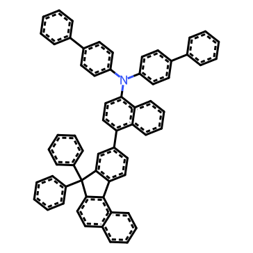 c1ccc(-c2ccc(N(c3ccc(-c4ccccc4)cc3)c3ccc(-c4ccc5c(c4)C(c4ccccc4)(c4ccccc4)c4ccc6ccccc6c4-5)c4ccccc34)cc2)cc1